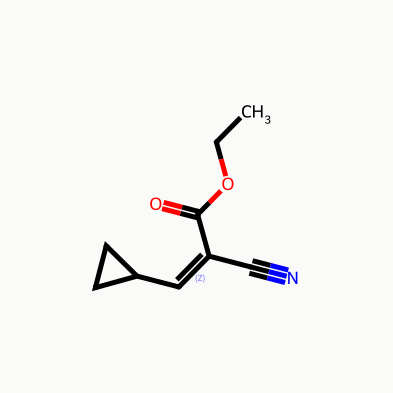 CCOC(=O)/C(C#N)=C\C1CC1